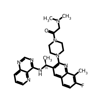 Cc1c(F)ccc2cc([C@H](C)Nc3ncnc4cccnc34)c(N3CCN(C(=O)CN(C)C)CC3)nc12